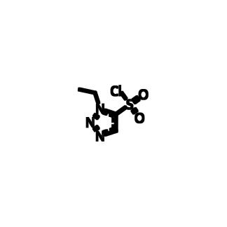 CCn1nncc1S(=O)(=O)Cl